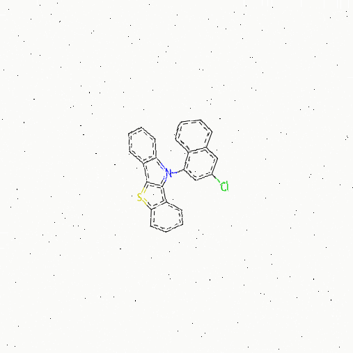 Clc1cc(-n2c3ccccc3c3sc4ccccc4c32)c2ccccc2c1